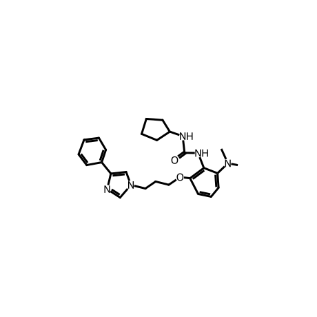 CN(C)c1cccc(OCCCn2cnc(-c3ccccc3)c2)c1NC(=O)NC1CCCC1